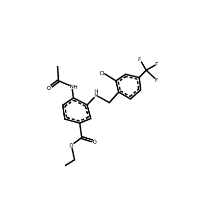 CCOC(=O)c1ccc(NC(C)=O)c(NCc2ccc(C(F)(F)F)cc2Cl)c1